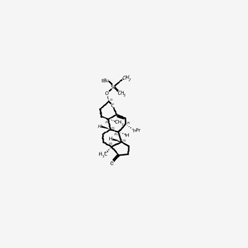 CCC[C@H]1C=C2C[C@@H](O[Si](C)(C)C(C)(C)C)CC[C@]2(C)[C@H]2CC[C@]3(C)C(=O)CC[C@H]3[C@H]12